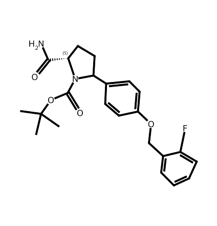 CC(C)(C)OC(=O)N1C(c2ccc(OCc3ccccc3F)cc2)CC[C@H]1C(N)=O